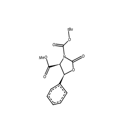 COC(=O)[C@@H]1[C@H](c2ccccc2)OC(=O)N1C(=O)OC(C)(C)C